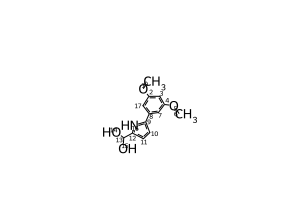 COc1cc(OC)cc(-c2ccc(C(O)O)[nH]2)c1